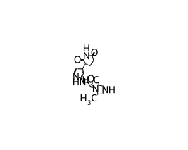 C[C@@H]1CNC[C@H](C)N1CC(=O)Nc1cc(C2CCC(=O)NC2=O)ccn1